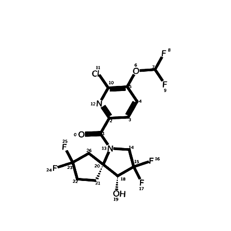 O=C(c1ccc(OC(F)F)c(Cl)n1)N1CC(F)(F)[C@H](O)[C@]12CCC(F)(F)C2